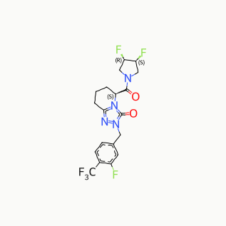 O=C([C@@H]1CCCc2nn(Cc3ccc(C(F)(F)F)c(F)c3)c(=O)n21)N1C[C@@H](F)[C@@H](F)C1